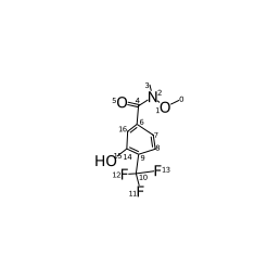 CON(C)C(=O)c1ccc(C(F)(F)F)c(O)c1